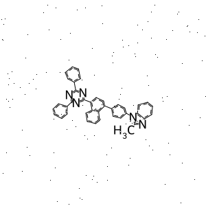 Cc1nc2ccccc2n1-c1ccc(-c2ccc(-c3nc(-c4ccccc4)nc(-c4ccccc4)n3)c3ccccc23)cc1